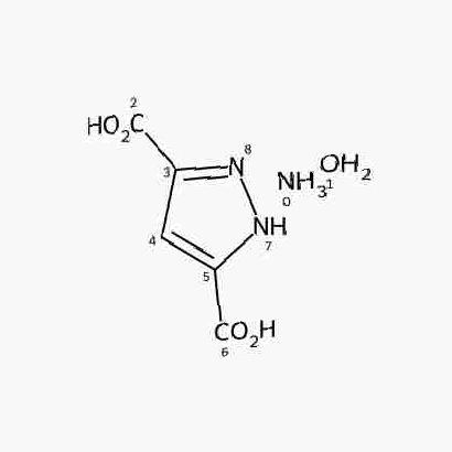 N.O.O=C(O)c1cc(C(=O)O)[nH]n1